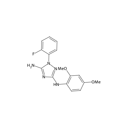 COc1ccc(Nc2nc(N)n(-c3ccccc3F)n2)c(OC)c1